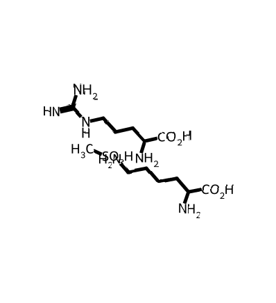 CS(=O)(=O)O.N=C(N)NCCCC(N)C(=O)O.NCCCCC(N)C(=O)O